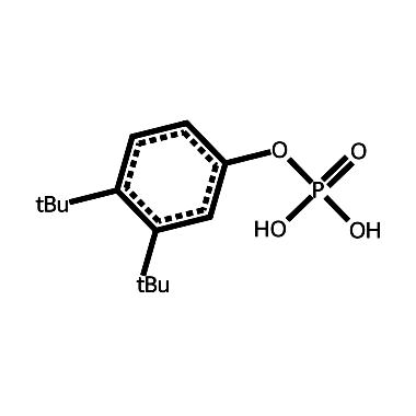 CC(C)(C)c1ccc(OP(=O)(O)O)cc1C(C)(C)C